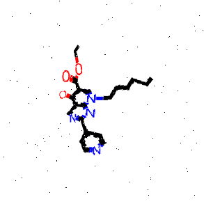 CCCCCCn1cc(C(=O)OCC)c(=O)c2cnc(-c3ccncc3)nc21